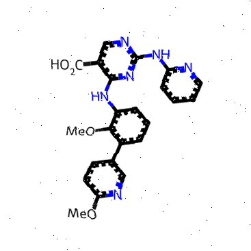 COc1ccc(-c2cccc(Nc3nc(Nc4ccccn4)ncc3C(=O)O)c2OC)cn1